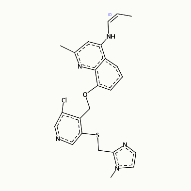 C/C=C\Nc1cc(C)nc2c(OCc3c(Cl)cncc3SCc3nccn3C)cccc12